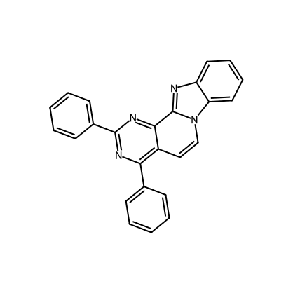 c1ccc(-c2nc(-c3ccccc3)c3ccn4c5ccccc5nc4c3n2)cc1